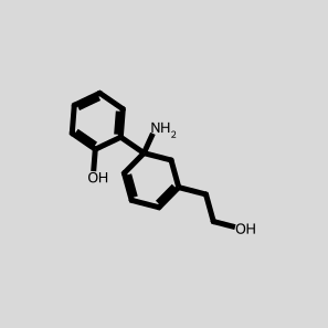 NC1(c2ccccc2O)C=CC=C(CCO)C1